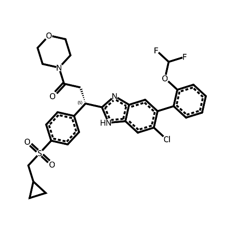 O=C(C[C@@H](c1ccc(S(=O)(=O)CC2CC2)cc1)c1nc2cc(-c3ccccc3OC(F)F)c(Cl)cc2[nH]1)N1CCOCC1